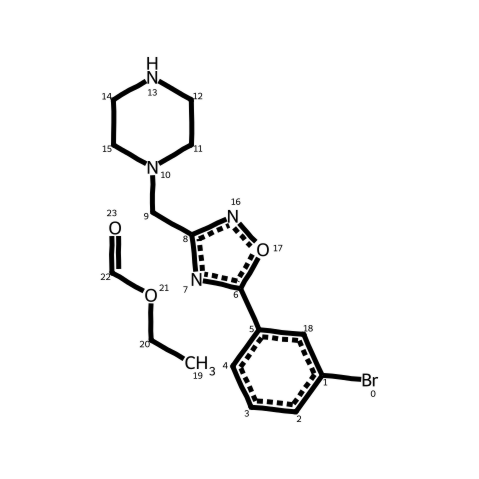 Brc1cccc(-c2nc(CN3CCNCC3)no2)c1.CCOC=O